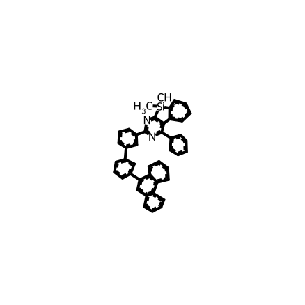 C[Si]1(C)c2ccccc2-c2c(-c3ccccc3)nc(-c3cccc(-c4cccc(-c5cc6ccccc6c6ccccc56)c4)c3)nc21